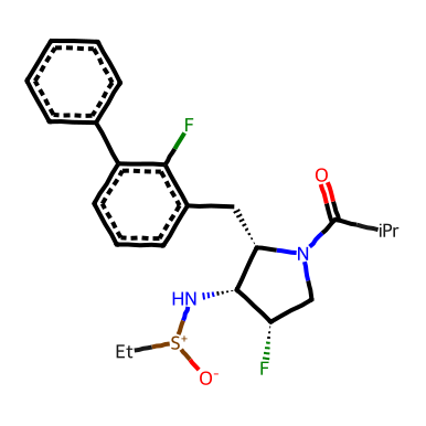 CC[S+]([O-])N[C@H]1[C@@H](F)CN(C(=O)C(C)C)[C@H]1Cc1cccc(-c2ccccc2)c1F